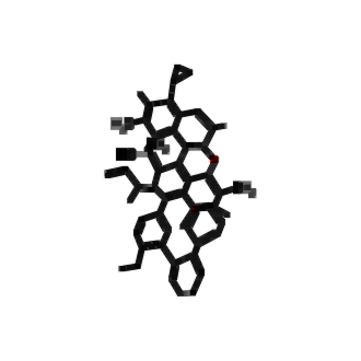 B/C(O)=c1\c(-c2c(C)c(C)cc3c(C4CC4)c(C)c(B)c(C)c23)c2c(C)c(B)c(C)c(C)c2c(-c2ccc(CC)c(C3=CCCC=C3c3ccccc3)c2)\c1=C(/C)C=C